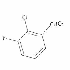 O=[C]c1cccc(F)c1Cl